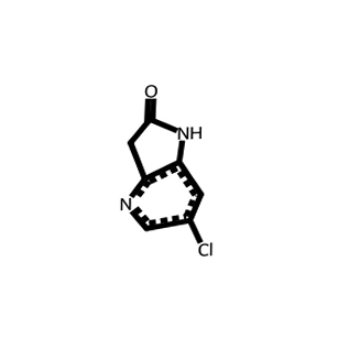 O=C1Cc2ncc(Cl)cc2N1